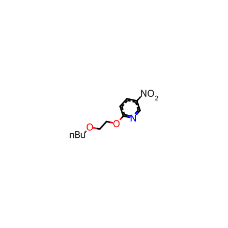 CCCCOCCOc1ccc([N+](=O)[O-])cn1